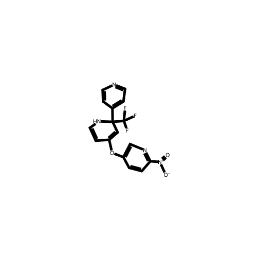 O=[N+]([O-])c1ccc(OC2=CC(c3ccncc3)(C(F)(F)F)NC=C2)cn1